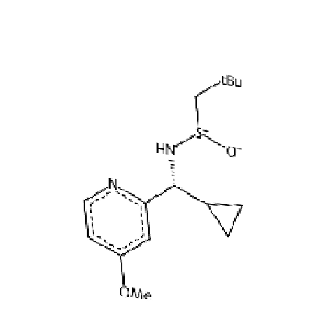 COc1ccnc([C@H](N[S+]([O-])CC(C)(C)C)C2CC2)c1